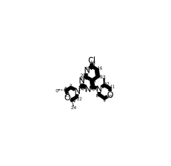 C[C@@H]1CN(c2nc(N3CCOC[C@@H]3C)c3ccc(Cl)nc3n2)C[C@H](C)O1